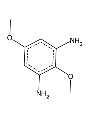 COc1cc(N)c(OC)c(N)c1